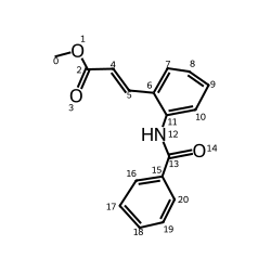 COC(=O)C=Cc1ccccc1NC(=O)c1ccccc1